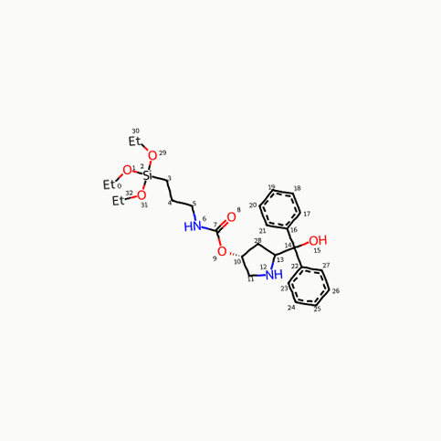 CCO[Si](CCCNC(=O)O[C@H]1CNC(C(O)(c2ccccc2)c2ccccc2)C1)(OCC)OCC